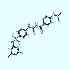 Cc1cc(C)nc(NS(=O)(=O)c2ccc(NC(=S)NC(=O)c3ccc(OC(C)C)cc3)cc2)n1